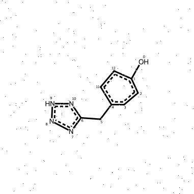 Oc1ccc(Cc2nn[nH]n2)cc1